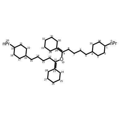 CCCC1CCC(CCCCC(OC(CCCCC2CCC(CCC)CC2)=C2CCCCC2)=C2CCCCC2)CC1